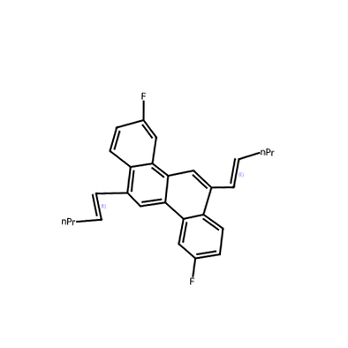 CCC/C=C/c1cc2c3cc(F)ccc3c(/C=C/CCC)cc2c2cc(F)ccc12